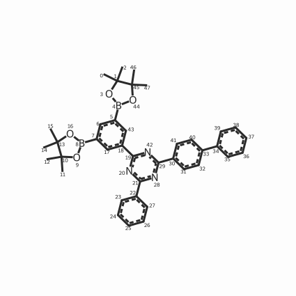 CC1(C)OB(c2cc(B3OC(C)(C)C(C)(C)O3)cc(-c3nc(-c4ccccc4)nc(-c4ccc(-c5ccccc5)cc4)n3)c2)OC1(C)C